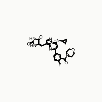 O=C1NC(=O)/C(=C\c2cnn3c(NC4CC4)cc(-c4ccc(F)c(C(=O)N5CCOCC5)c4)nc23)N1